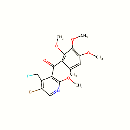 COc1cc(C)c(C(=O)c2c(OC)ncc(Br)c2CF)c(OC)c1OC